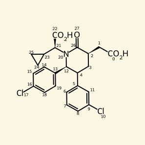 O=C(O)C[C@H]1CC(c2cccc(Cl)c2)[C@@H](c2ccc(Cl)cc2)N([C@H](C(=O)O)C2CC2)C1=O